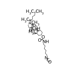 CC(C)CCC[C@@H](C)[C@H]1CC[C@H]2[C@@H]3CC=C4CC(OC(=O)NCCCCCCN=C=O)CC[C@]4(C)[C@H]3CC[C@]12C